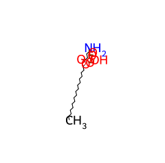 CCCCCCCCCCCCCCCCCCOC(=O)C(CC(N)=O)S(=O)(=O)O